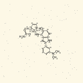 CN(C)c1cccc(-c2nc3c(N[C@@H]4[C@H](OC(N)=O)[C@H]5C=C[C@@H]4C5)c(Cl)cnc3[nH]2)c1